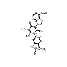 CCc1c(C(=O)O)c(=O)n(C2CCc3c(OC)cccc32)c(=O)n1-c1ccc2c(c1)sc(=O)n2C